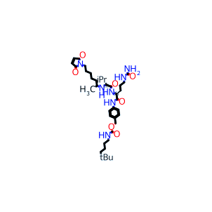 CC(CCCCCN1C(=O)C=CC1=O)N[C@H](C(=O)N[C@@H](CCCNC(N)=O)C(=O)Nc1ccc(COC(=O)NCCCCC(C)(C)C)cc1)C(C)C